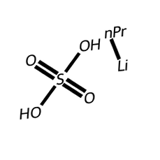 O=S(=O)(O)O.[Li][CH2]CC